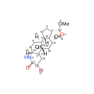 COC(=O)[C@H]1CC[C@H]2[C@@H]3CC[C@H]4NC(=O)C(Br)C[C@]4(C)[C@H]3CC[C@]12C